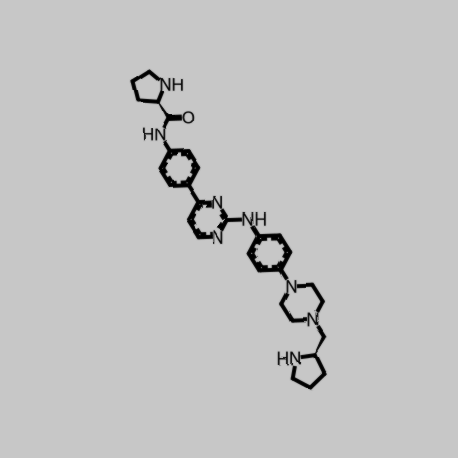 O=C(Nc1ccc(-c2ccnc(Nc3ccc(N4CCN(C[C@H]5CCCN5)CC4)cc3)n2)cc1)[C@H]1CCCN1